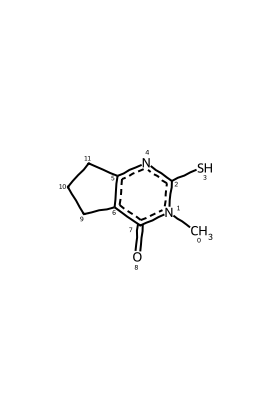 Cn1c(S)nc2c(c1=O)CCC2